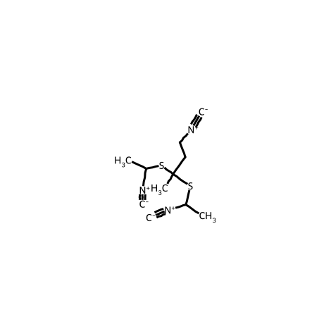 [C-]#[N+]CCC(C)(SC(C)[N+]#[C-])SC(C)[N+]#[C-]